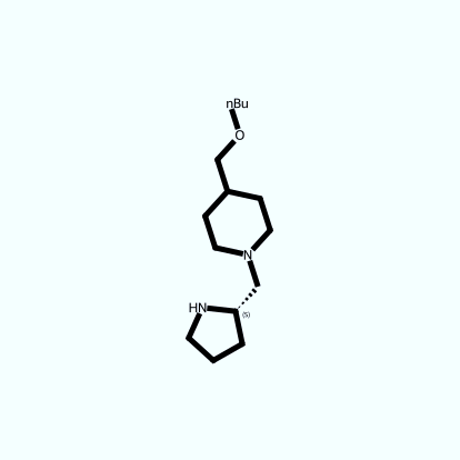 CCCCOCC1CCN(C[C@@H]2CCCN2)CC1